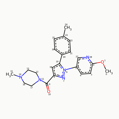 COc1ccc(-n2nc(C(=O)N3CCN(C)CC3)cc2-c2ccc(C)cc2)cn1